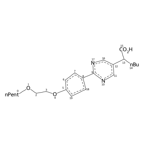 CCCCCOCCOc1ccc(-c2ncc(C(CCCC)C(=O)O)cn2)cc1